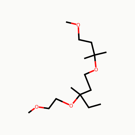 CCC(C)(CCOC(C)(C)CCOC)OCCOC